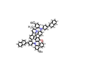 Cc1cnc2c(c1)-c1ccccc1C21c2cc(N(c3ccc(-c4ccc5ccccc5c4)cc3)c3ccc(C(C)(C)C)cc3)ccc2-c2c1cc(N(c1ccc(-c3ccc4ccccc4c3)cc1)c1ccc(C(C)(C)C)cc1)c1c2oc2ccccc21